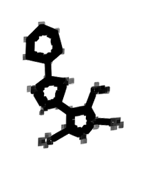 COc1c(-c2noc(-c3ccccc3)n2)c(C)nn1C